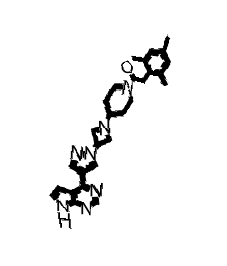 Cc1cc(C)c(CC(=O)N2CCC(N3CC(n4cc(-c5ncnc6[nH]ccc56)cn4)C3)CC2)c(C)c1